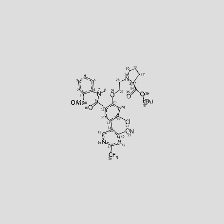 COc1ccccc1N(C)C(=O)c1cc(-c2cnc(C(F)(F)F)cc2C#N)c(Cl)cc1OCCN1CCC[C@H]1C(=O)OC(C)(C)C